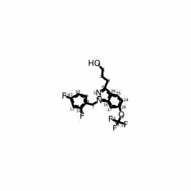 OCCCc1nn(Cc2ccc(F)cc2F)c2cc(OC(F)(F)F)ccc12